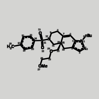 CCCCn1ncc2c1C=C1CCN(S(=O)(=O)c3ccc(C)cc3)C[C@@]1(COCCOC)C2